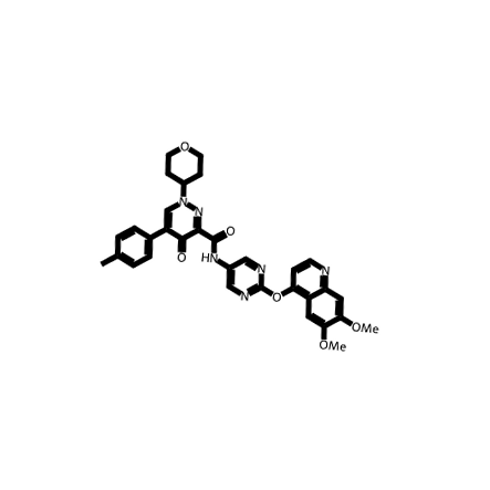 COc1cc2nccc(Oc3ncc(NC(=O)c4nn(C5CCOCC5)cc(-c5ccc(C)cc5)c4=O)cn3)c2cc1OC